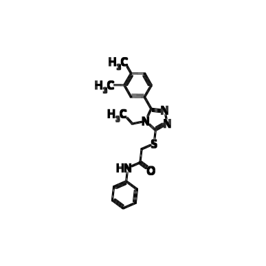 CCn1c(SCC(=O)Nc2ccccc2)nnc1-c1ccc(C)c(C)c1